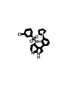 O=S(=O)(Nc1ccnc2[nH]cc(-c3cccc(N4CCCC4)c3)c12)c1cccc(Cl)c1